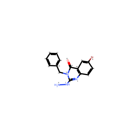 NNc1nc2ccc(Br)cc2c(=O)n1Cc1ccccc1